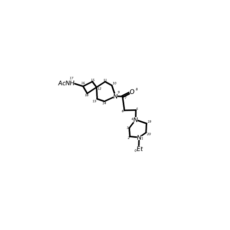 CCN1CCN(CCC(=O)N2CCC3(CC2)CC(NC(C)=O)C3)CC1